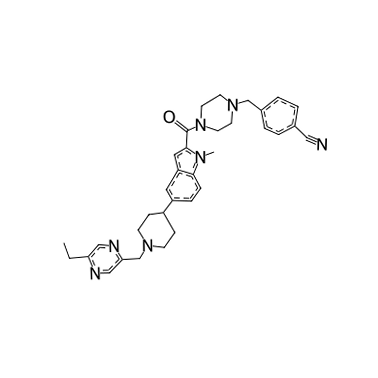 CCc1cnc(CN2CCC(c3ccc4c(c3)cc(C(=O)N3CCN(Cc5ccc(C#N)cc5)CC3)n4C)CC2)cn1